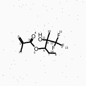 C=C(C)C(=O)OC(CC)C(C)(O)C(F)(F)F